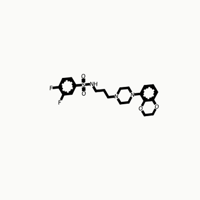 O=S(=O)(NCCCN1CCN(c2cccc3c2OCCO3)CC1)c1ccc(F)c(F)c1